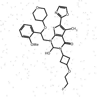 COc1ccccc1C(CN1c2sc(-c3ncco3)c(C)c2C(=O)N(C2CC(OCCF)C2)C1O)OC1CCOCC1